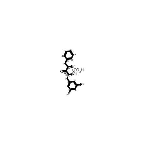 O=C(O)N[C@@H](Cc1cc(F)cc(F)c1)C(=O)C(Br)Cc1ccccc1